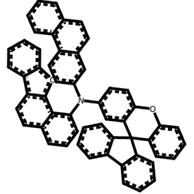 c1ccc2c(c1)Oc1ccc(N(c3ccc4c(ccc5ccccc54)c3)c3cccc4ccc5c6ccccc6oc5c34)cc1C21c2ccccc2-c2ccccc21